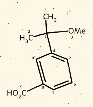 COC(C)(C)c1cccc(C(=O)O)c1